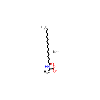 CCCCCCCCCCCCCCCC(=O)NC(C)C(=O)[O-].[Na+]